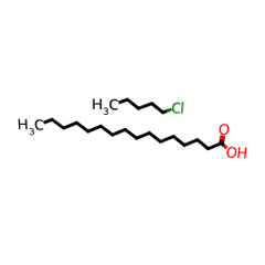 CCCCCCCCCCCCCCCC(=O)O.CCCCCCl